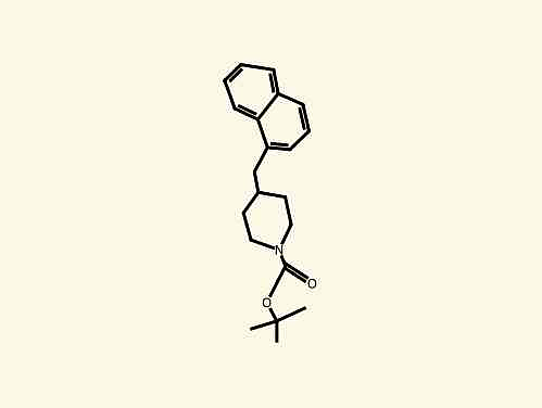 CC(C)(C)OC(=O)N1CCC(Cc2cccc3ccccc23)CC1